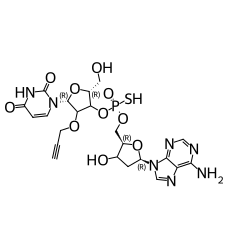 C#CCOC1C(OP(=O)(S)OC[C@H]2O[C@@H](n3cnc4c(N)ncnc43)CC2O)[C@@H](CO)O[C@H]1n1ccc(=O)[nH]c1=O